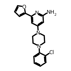 Nc1cc(N2CCN(c3ccccc3Cl)CC2)cc(-c2ccco2)n1